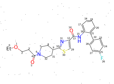 CCOCCC(=O)N1CCC(c2nc(C(=O)Nc3ccccc3-c3ccc(F)cc3)cs2)CC1